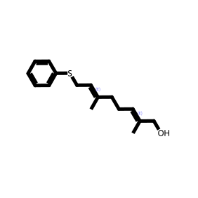 C/C(=C\CC/C(C)=C/CSc1ccccc1)CO